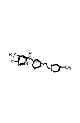 Cc1cc(N[C@@H]2CCCN(CCN3CCC(O)CC3)C2)nnc1Cl